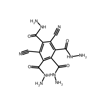 N#Cc1c(C(=O)NN)c(C#N)c(C(=O)NN)c(C(=O)NN)c1C(=O)NN